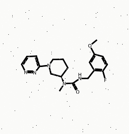 COc1ccc(F)c(CNC(=O)N(C)[C@@H]2CCCN(c3cccnn3)C2)c1